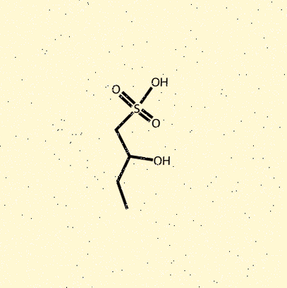 CCC(O)CS(=O)(=O)O